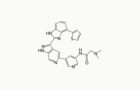 CN(C)CC(=O)Nc1cncc(-c2cc3c(-c4nc5c(-c6cccs6)cccc5[nH]4)n[nH]c3cn2)c1